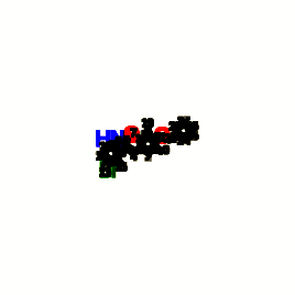 Cc1cc(C=C2C(=O)Nc3ccc(Br)c(C)c32)cc(C)c1OCc1ccccc1